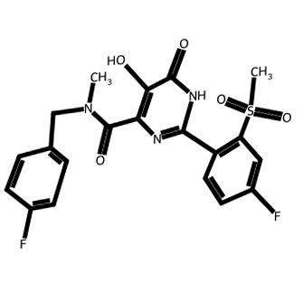 CN(Cc1ccc(F)cc1)C(=O)c1nc(-c2ccc(F)cc2S(C)(=O)=O)[nH]c(=O)c1O